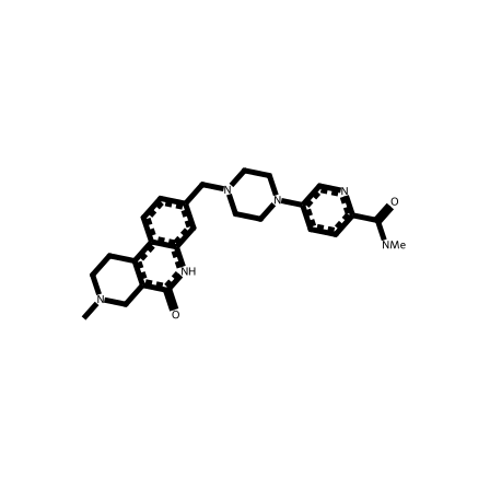 CNC(=O)c1ccc(N2CCN(Cc3ccc4c5c(c(=O)[nH]c4c3)CN(C)CC5)CC2)cn1